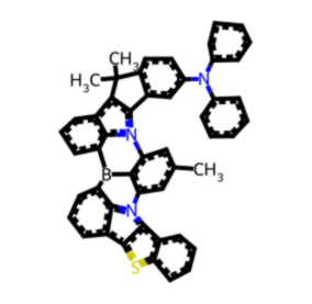 Cc1cc2c3c(c1)-n1c4c(cccc4c4sc5ccccc5c41)B3c1cccc3c4c(n-2c13)-c1cc(N(c2ccccc2)c2ccccc2)ccc1C4(C)C